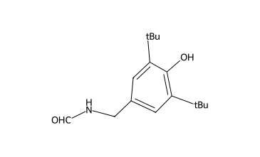 CC(C)(C)c1cc(CNC=O)cc(C(C)(C)C)c1O